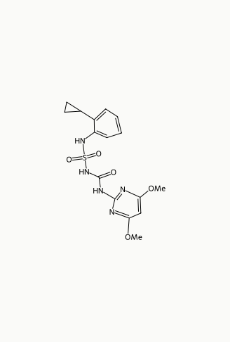 COc1cc(OC)nc(NC(=O)NS(=O)(=O)Nc2ccccc2C2CC2)n1